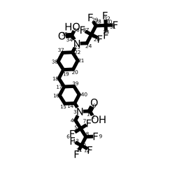 O=C(O)N(CC(F)(F)C(F)C(F)(F)F)C1CCC(CC2CCC(N(CC(F)(F)C(F)C(F)(F)F)C(=O)O)CC2)CC1